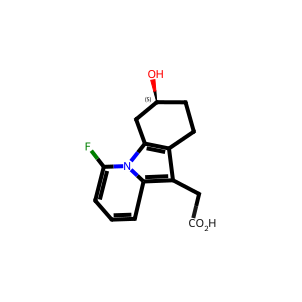 O=C(O)Cc1c2c(n3c(F)cccc13)C[C@@H](O)CC2